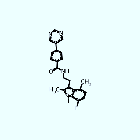 Cc1[nH]c2c(F)ccc(C)c2c1CCNC(=O)c1ccc(-c2cncnc2)cc1